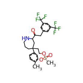 Cc1ccc(C2(CCOS(C)(=O)=O)CCCNC(C(=O)Cc3cc(C(F)(F)F)cc(C(F)(F)F)c3)C2)cc1